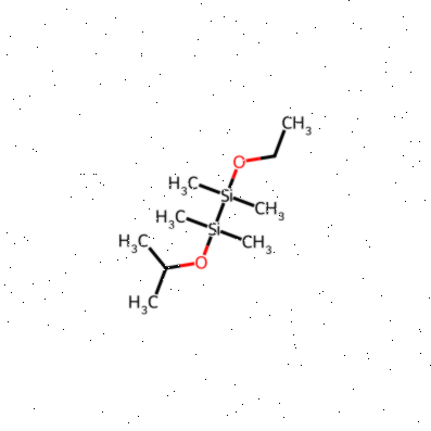 CCO[Si](C)(C)[Si](C)(C)OC(C)C